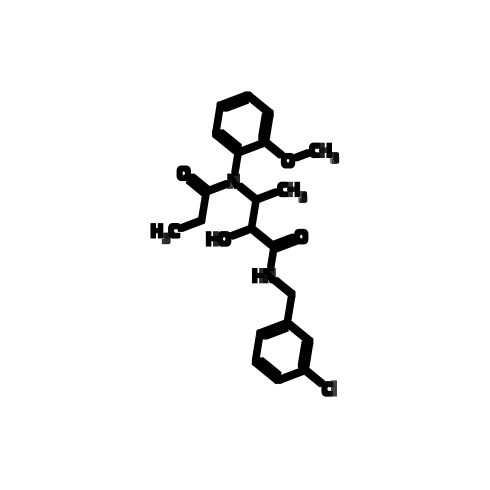 CCC(=O)N(c1ccccc1OC)C(C)C(O)C(=O)NCc1cccc(Cl)c1